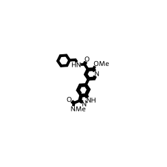 CNC(=O)c1n[nH]c2cc(-c3cnc(OC)c(C(=O)NCC4CCCCC4)c3)ccc12